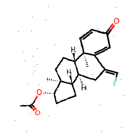 CC(=O)O[C@H]1CC[C@H]2[C@@H]3C/C(=C\F)C4=CC(=O)C=C[C@]4(C)[C@H]3CC[C@]12C